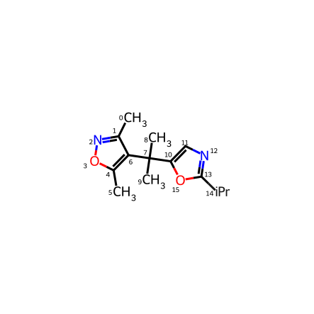 Cc1noc(C)c1C(C)(C)c1cnc(C(C)C)o1